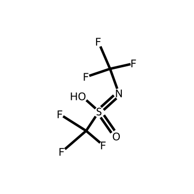 O=S(O)(=NC(F)(F)F)C(F)(F)F